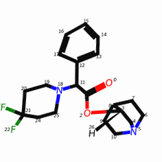 O=C(O[C@H]1CN2CCC1CC2)C(c1ccccc1)N1CCC(F)(F)CC1